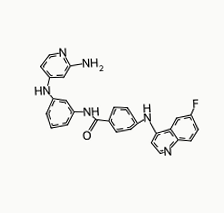 Nc1cc(Nc2cccc(NC(=O)c3ccc(Nc4ccnc5ccc(F)cc45)cc3)c2)ccn1